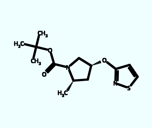 C[C@H]1C[C@@H](Oc2ccsn2)CN1C(=O)OC(C)(C)C